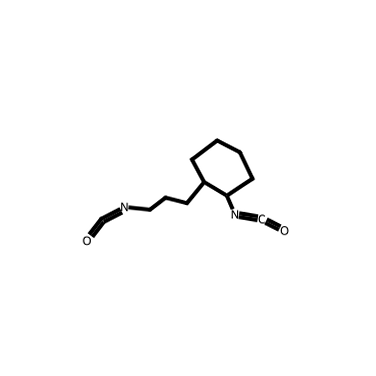 O=C=NCCCC1CCCCC1N=C=O